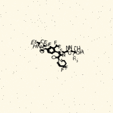 CCC(NS(=O)(=O)c1ccc(-c2sc(-c3nnc(C(C)(C)O)o3)nc2C(=O)N2CCC(F)(F)CC2)c(C(F)F)c1F)C(F)(F)F